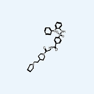 O=C(NCC(=O)N1CCC(CCN2CCCC2)CC1)c1ccc(S(=O)(=O)Nc2ccccc2Oc2ccccc2)cc1